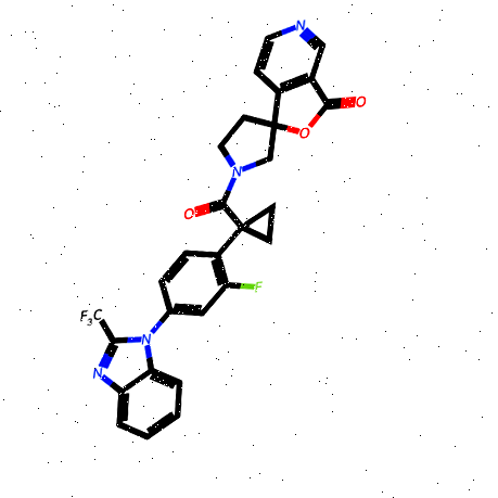 O=C1OC2(CCN(C(=O)C3(c4ccc(-n5c(C(F)(F)F)nc6ccccc65)cc4F)CC3)C2)c2ccncc21